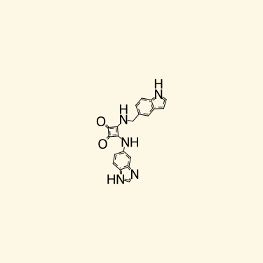 O=c1c(NCc2ccc3[nH]ccc3c2)c(Nc2ccc3[nH]cnc3c2)c1=O